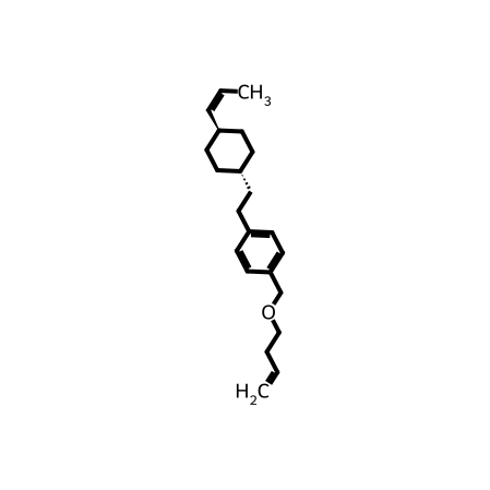 C=CCCOCc1ccc(CC[C@H]2CC[C@H](/C=C\C)CC2)cc1